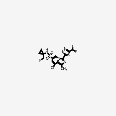 Cc1nc(-c2nnc(C(F)F)s2)n2cc(S(=O)(=O)NC3(CF)CC3)cc(Cl)c12